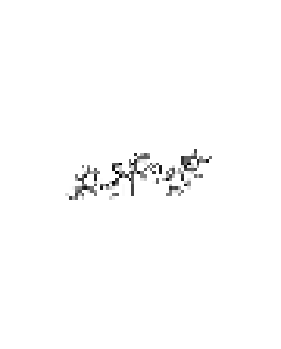 Cc1cnn(-c2cc(COc3cnnc(NC(=O)[C@H]4C[C@@H]4c4cccc(Cl)c4)c3)ccn2)c1